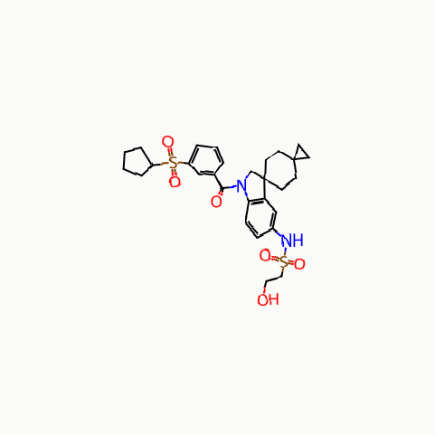 O=C(c1cccc(S(=O)(=O)C2CCCC2)c1)N1CC2(CCC3(CC3)CC2)c2cc(NS(=O)(=O)CCO)ccc21